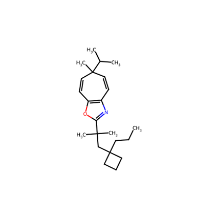 CCCC1(CC(C)(C)c2nc3c(o2)C=CC(C)(C(C)C)C=C3)CCC1